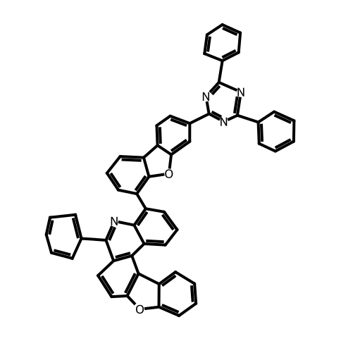 c1ccc(-c2nc(-c3ccccc3)nc(-c3ccc4c(c3)oc3c(-c5cccc6c5nc(-c5ccccc5)c5ccc7oc8ccccc8c7c56)cccc34)n2)cc1